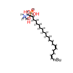 CCCC/C=C\CC/C=C\CCCCCCCCCCCCCCC(O)(C[N+](C)(C)C)P(=O)(O)O